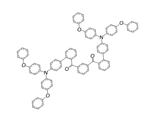 O=C(c1cccc(C(=O)c2ccccc2-c2ccc(N(c3ccc(Oc4ccccc4)cc3)c3ccc(Oc4ccccc4)cc3)cc2)c1)c1ccccc1-c1ccc(N(c2ccc(Oc3ccccc3)cc2)c2ccc(Oc3ccccc3)cc2)cc1